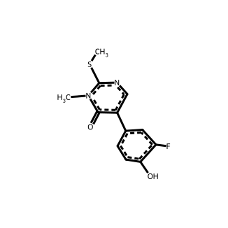 CSc1ncc(-c2ccc(O)c(F)c2)c(=O)n1C